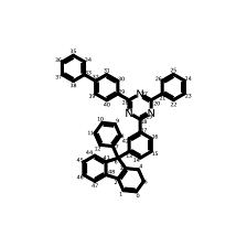 C1=CC2=C(CC1)C(c1ccccc1)(c1cccc(-c3nc(-c4ccccc4)nc(-c4ccc(-c5ccccc5)cc4)n3)c1)c1ccccc12